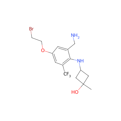 CC1(O)CC(Nc2c(CN)cc(OCCBr)cc2C(F)(F)F)C1